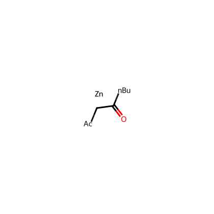 CCCCC(=O)CC(C)=O.[Zn]